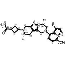 C[C@@H]1CN(c2ccc(C#N)n3ncc(F)c23)Cc2c3c(nn21)CN(C1CC(C(N)=O)C1)[C@@H](C)C3